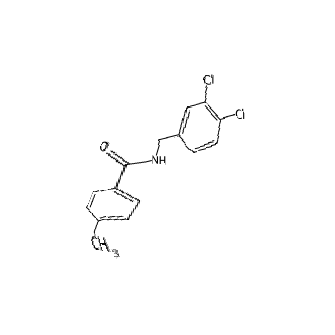 Cc1ccc(C(=O)NCc2ccc(Cl)c(Cl)c2)cc1